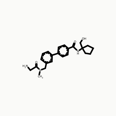 CN(Cc1cccc(-c2ccc(C(=O)NC3(CO)CCCC3)cc2)c1)C(=O)CN